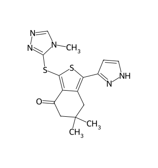 Cn1cnnc1Sc1sc(-c2cc[nH]n2)c2c1C(=O)CC(C)(C)C2